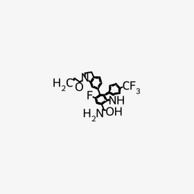 C=CC(=O)N1CCc2ccc(-c3c(F)cc(C(N)O)c4[nH]c5cc(C(F)(F)F)ccc5c34)cc21